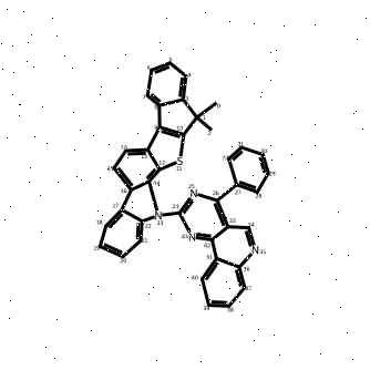 CC1(C)c2ccccc2-c2c1sc1c2ccc2c3ccccc3n(-c3nc(-c4ccccc4)c4cnc5ccccc5c4n3)c21